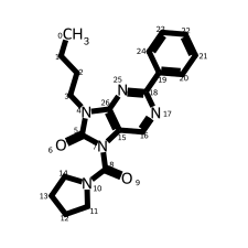 CCCCn1c(=O)n(C(=O)N2CCCC2)c2cnc(-c3ccccc3)nc21